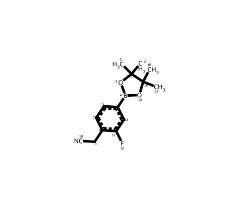 CC1(C)OB(c2ccc(CC#N)c(F)c2)OC1(C)C